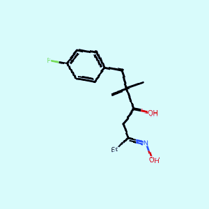 CCC(CC(O)C(C)(C)Cc1ccc(F)cc1)=NO